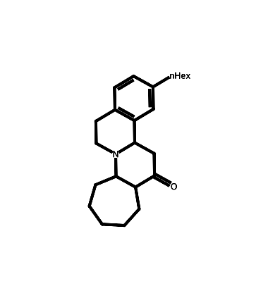 CCCCCCc1ccc2c(c1)C1CC(=O)C3CCCCCC3N1CC2